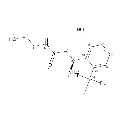 Cl.N[C@@H](CC(=O)NCCO)c1ccccc1C(F)(F)F